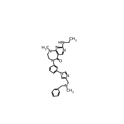 CCNc1ncc2c(n1)N(C)CCN(c1cccc(-n3cnc(CN(C)Cc4ccccc4)c3)c1)C2=O